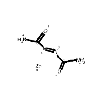 NC(=O)N=NC(N)=O.[Zn]